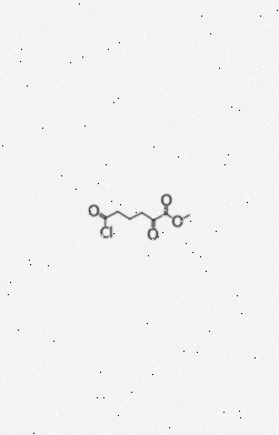 COC(=O)C(=O)CCCC(=O)Cl